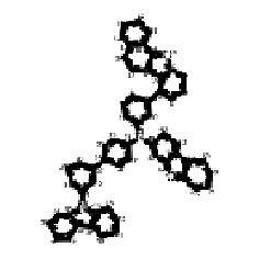 c1cc(-c2cccc3oc4c5ccccc5ccc4c23)cc(N(c2ccc(-c3cccc(-n4c5ccccc5c5ccccc54)c3)cc2)c2ccc3c(c2)oc2ccccc23)c1